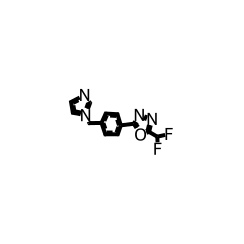 FC(F)c1nnc(-c2ccc(Cn3ccnc3)cc2)o1